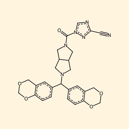 N#Cc1ncn(C(=O)N2CC3CN(C(c4ccc5c(c4)COCO5)c4ccc5c(c4)COCO5)CC3C2)n1